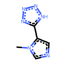 Cn1cncc1-c1nnn[nH]1